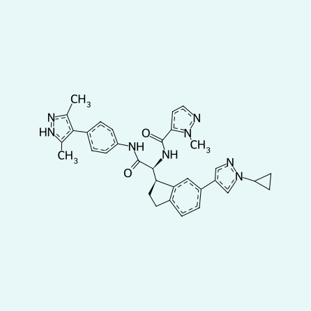 Cc1n[nH]c(C)c1-c1ccc(NC(=O)[C@@H](NC(=O)c2ccnn2C)[C@@H]2CCc3ccc(-c4cnn(C5CC5)c4)cc32)cc1